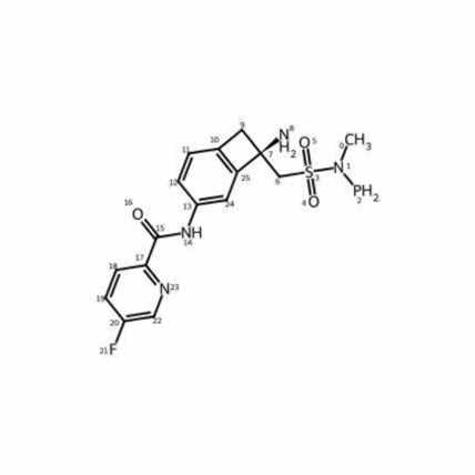 CN(P)S(=O)(=O)C[C@@]1(N)Cc2ccc(NC(=O)c3ccc(F)cn3)cc21